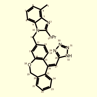 CCCc1nc2c(C)cccc2n1Cc1ccc2c(c1)OCc1ccccc1/C2=C/c1nnn[nH]1